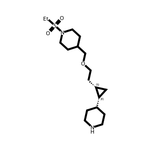 CCS(=O)(=O)N1CCC(COCC[C@@H]2C[C@@H]2C2CCNCC2)CC1